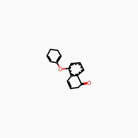 O=C1CC=Cc2c(OC3=CCCC=C3)cccc21